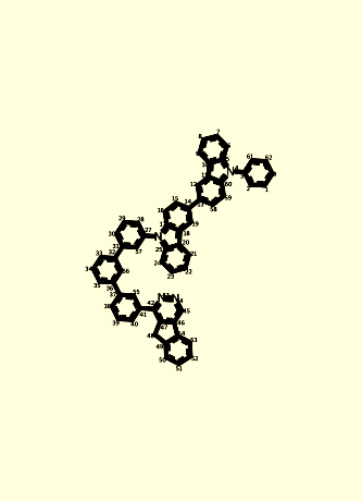 c1ccc(-n2c3ccccc3c3cc(-c4ccc5c(c4)c4ccccc4n5-c4cccc(-c5cccc(-c6cccc(-c7nncc8c7Cc7ccccc7-8)c6)c5)c4)ccc32)cc1